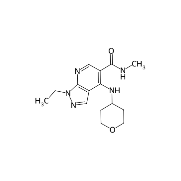 CCn1ncc2c(NC3CCOCC3)c(C(=O)NC)cnc21